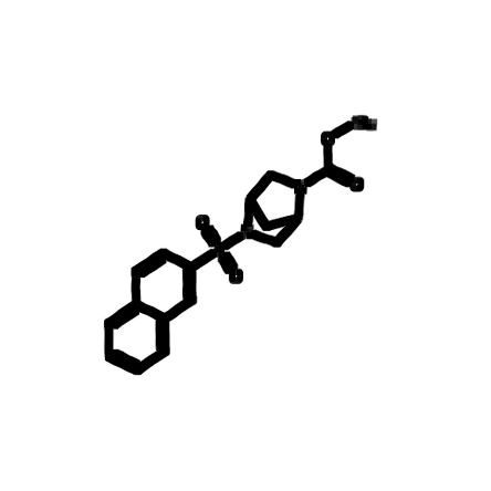 CC(C)(C)OC(=O)N1CC2CC1CN2S(=O)(=O)c1ccc2ccccc2c1